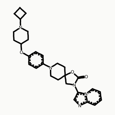 O=C1OC2(CCN(c3ccc(OC4CCN(C5CCC5)CC4)cc3)CC2)CN1c1cnc2ccccn12